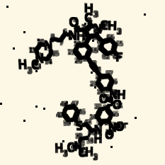 Cc1c(C(=O)NCCCN2CCN(C)CC2)c(-c2cccc(C#Cc3ccc(NS(=O)(=O)c4ccc(N[C@H](CCN(C)C)CSc5ccccc5)c([N+](=O)[O-])c4)cc3)c2)c(-c2ccc(F)cc2)n1C